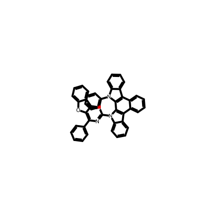 c1ccc(-c2nc(-n3c4ccccc4c4c5ccccc5c5c6ccccc6n(-c6ccccc6)c5c43)nc3c2oc2ccccc23)cc1